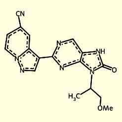 COCC(C)n1c(=O)[nH]c2cnc(-c3cnn4ccc(C#N)cc34)nc21